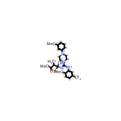 COC(=O)C(C)C(C)(C)N=C(Nc1cc(C(F)(F)F)ccc1OC)N1CCN(c2cccc(OC)c2)CC1